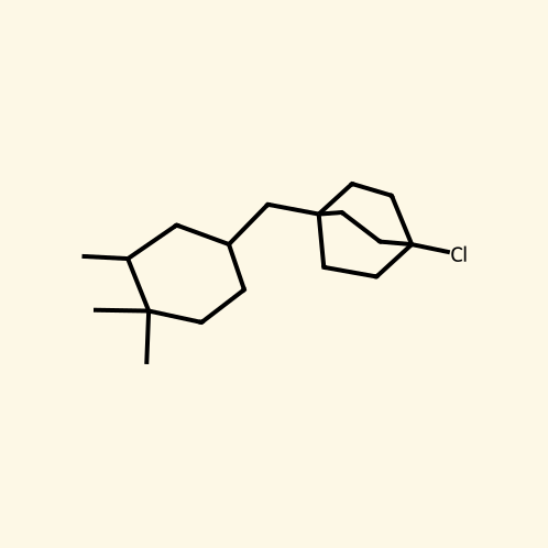 CC1CC(CC23CCC(Cl)(CC2)CC3)CCC1(C)C